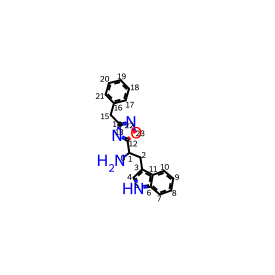 NC(Cc1c[nH]c2ccccc12)c1nc(Cc2ccccc2)no1